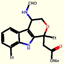 CCc1cccc2c3c([nH]c12)C(CC)(CC(=O)OC)OCC3NC=O